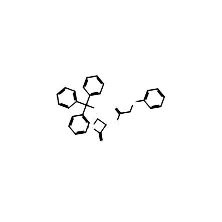 O=C(COc1ccccc1)N[C@@H]1C(=O)N[C@@H]1SC(c1ccccc1)(c1ccccc1)c1ccccc1